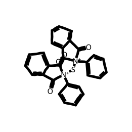 O=C1c2ccccc2C(=O)[N+]1(S[N+]1(c2ccccc2)C(=O)c2ccccc2C1=O)c1ccccc1